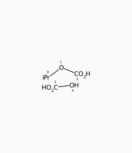 CC(C)OC(=O)O.O=C(O)O